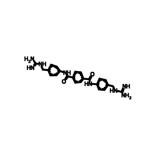 N=C(N)NCc1ccc(NC(=O)c2ccc(C(=O)Nc3ccc(CNC(=N)N)cc3)cc2)cc1